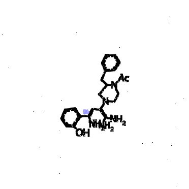 CC(=O)N1CCN(C(/C=C(\N)c2ccccc2O)=C(N)N)CC1Cc1ccccc1